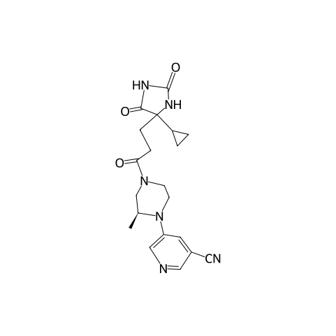 C[C@H]1CN(C(=O)CCC2(C3CC3)NC(=O)NC2=O)CCN1c1cncc(C#N)c1